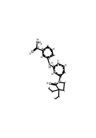 CCC1(CC)CCN(c2ccnc(Nc3cccc(C(N)=O)c3)n2)C1=O